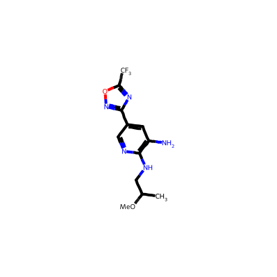 COC(C)CNc1ncc(-c2noc(C(F)(F)F)n2)cc1N